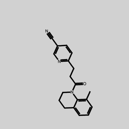 Cc1cccc2c1N(C(=O)CCc1ccc(C#N)cn1)CCC2